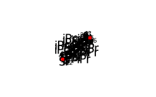 CC(C)[Si](c1c2cc([Si](C)(C)C)c([Si](C)(C)C)cc2c([Si](C(C)C)(C(C)C)C(C)C)c2cc3c([Si](C(C)C)(C(C)C)C(C)C)c4cc([Si](C)(C)C)c([Si](C)(C)C)cc4c([Si](C(C)C)(C(C)C)C(C)C)c3cc12)(C(C)C)C(C)C